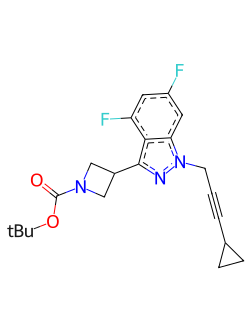 CC(C)(C)OC(=O)N1CC(c2nn(CC#CC3CC3)c3cc(F)cc(F)c23)C1